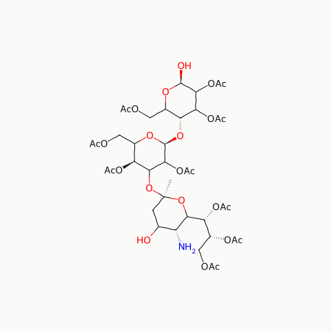 CC(=O)OCC1O[C@@H](O)C(OC(C)=O)C(OC(C)=O)[C@@H]1O[C@@H]1OC(COC(C)=O)[C@H](OC(C)=O)C(O[C@]2(C)CC(O)[C@@H](N)C([C@H](OC(C)=O)[C@@H](COC(C)=O)OC(C)=O)O2)C1OC(C)=O